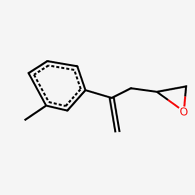 C=C(CC1CO1)c1cccc(C)c1